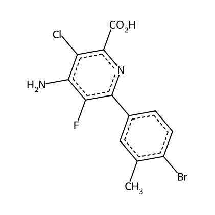 Cc1cc(-c2nc(C(=O)O)c(Cl)c(N)c2F)ccc1Br